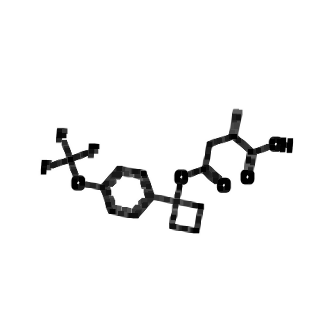 C=C(CC(=O)OC1(c2ccc(OC(F)(F)F)cc2)CCC1)C(=O)O